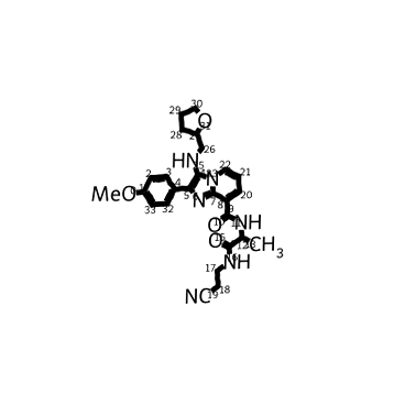 COc1ccc(-c2nc3c(C(=O)NC(C)C(=O)NCCC#N)cccn3c2NCC2CCCO2)cc1